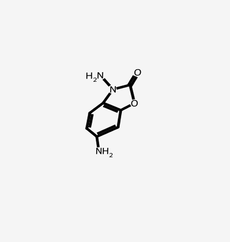 Nc1ccc2c(c1)oc(=O)n2N